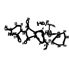 CN(c1ccc2c(c1)C(=O)N(C1CCC(=O)NC1=O)C2=O)[C@H]1CCCC[C@@H]1NCC(=O)O